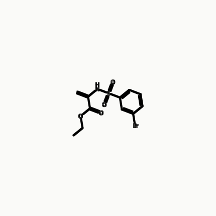 C=C(NS(=O)(=O)c1cccc(Br)c1)C(=O)OCC